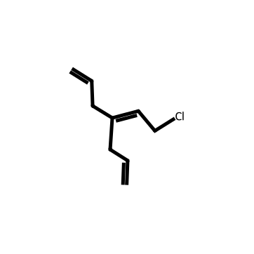 C=CCC(=CCCl)CC=C